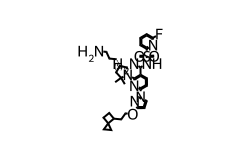 CC1(C)C[C@H](CCCN)CN1c1nc(-n2ccc(OCCC3CCC34CC4)n2)ccc1C(N)NS(=O)(=O)c1cccc(F)n1